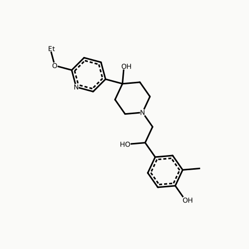 CCOc1ccc(C2(O)CCN(CC(O)c3ccc(O)c(C)c3)CC2)cn1